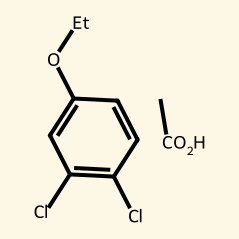 CC(=O)O.CCOc1ccc(Cl)c(Cl)c1